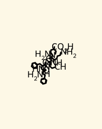 C#CCC(NC(=O)C(Cc1ccccc1)NC(=O)C(N)Cc1ccccc1)C(=O)NC(CCCCN)C(=O)N1CCC(C(=O)O)CC1N